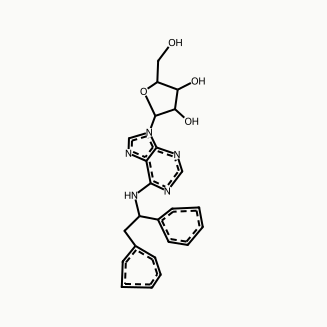 OCC1OC(n2cnc3c(NC(Cc4ccccc4)c4ccccc4)ncnc32)C(O)C1O